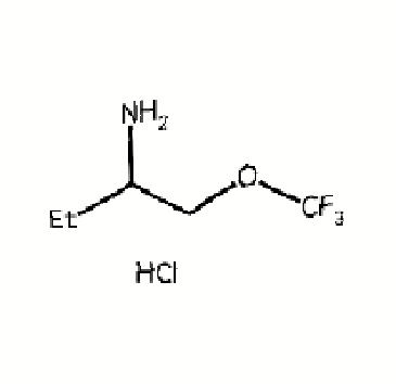 CCC(N)COC(F)(F)F.Cl